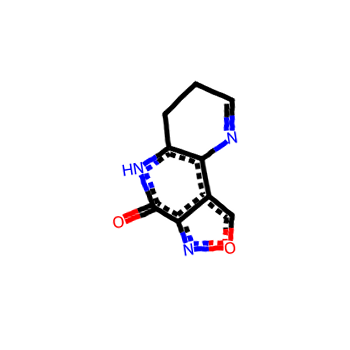 O=c1[nH]c2c(c3conc13)N=CCC2